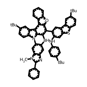 Cn1c(-c2ccccc2)nc2cc3c(cc21)-n1c2ccc(C(C)(C)C)cc2c2c4c(oc5ccccc54)c(-c4cc5c(cc4Nc4ccc(C(C)(C)C)cc4)sc4ccc(C(C)(C)C)cc45)c(c21)B3